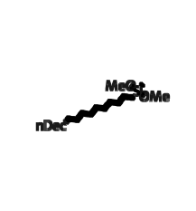 CCCCCCCCCCCCCCCCCCCC[Si](C)(OC)OC